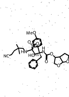 COc1ccc([C@](Cc2ccccc2)(NC(=O)OC2COC3OCCC23)[C@@H](O)C(NCC(C)(C)CCC#N)=S(=O)=O)cc1